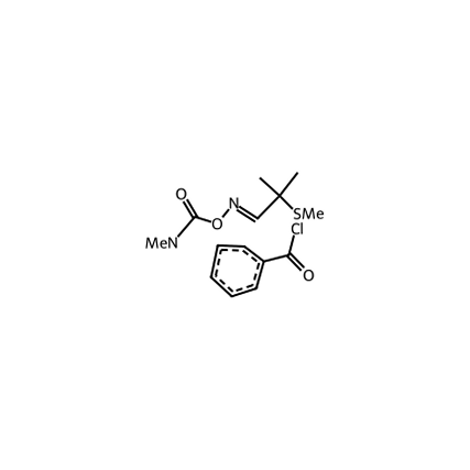 CNC(=O)O/N=C/C(C)(C)SC.O=C(Cl)c1ccccc1